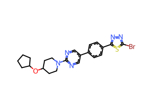 Brc1nnc(-c2ccc(-c3cnc(N4CCC(OC5CCCC5)CC4)nc3)cc2)s1